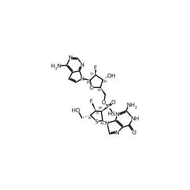 Nc1nc2c(ncn2[C@@H]2S[C@H](CO)[C@@H](F)[C@H]2P(=O)(S)OC[C@H]2O[C@@H](n3ccc4c(N)ncnc43)[C@@H](F)[C@@H]2O)c(=O)[nH]1